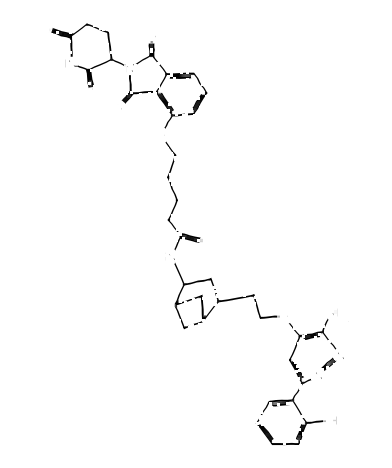 Nc1nnc(-c2ccccc2O)cc1OCCC1CC(NC(=O)CCCCOc2cccc3c2C(=O)N(C2CCC(=O)NC2=O)C3=O)C2CC1C2